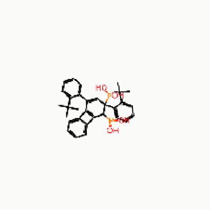 CC(C)(C)c1ccccc1C1=CC(c2ccccc2C(C)(C)C)(P(O)O)C(P(O)O)C2=C1c1ccccc12